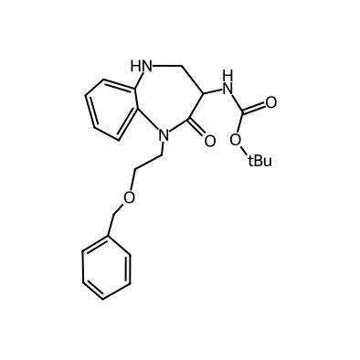 CC(C)(C)OC(=O)NC1CNc2ccccc2N(CCOCc2ccccc2)C1=O